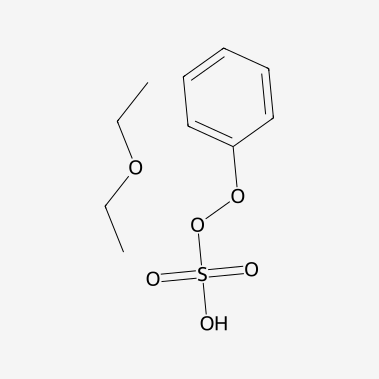 CCOCC.O=S(=O)(O)OOc1ccccc1